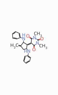 C=C1CC(Nc2ccccc2)C(=C2C(=O)N(C)C(=O)N(C)C2=O)C1Nc1ccccc1